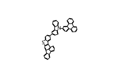 c1ccc2c(c1)-c1cccc3c1c-2cc1sc2ccc(-c4ccc5c(c4)c4ccccc4n5-c4ccc5c6ccccc6c6ccccc6c5c4)cc2c13